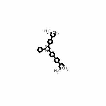 C=C/C=C(\C=C/C)c1ccc(-c2ccc(-c3cc(-c4ccc(C(/C=C\C)=C/C=C)cc4)nc(-c4ccccc4)n3)cc2)cc1